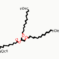 CCCCCCCC/C=C\CCCCCCCC(=O)OC(COCCCCCCCCCCCCCCCCCCCCCC)COCCCCCCCCCCCCCCCCCCCCCC